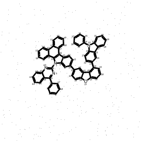 c1ccc(-c2nc(-n3c4cc(-c5ccc6oc7cccc(-c8ccc9c(c8)c8ccccc8n9-c8ccccc8)c7c6c5)ccc4c4c5ccccc5c5ccccc5c43)nc3ccccc23)cc1